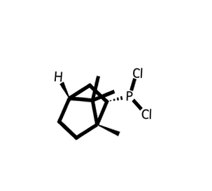 CC1(C)[C@@H]2CC[C@@]1(C)[C@@H](P(Cl)Cl)C2